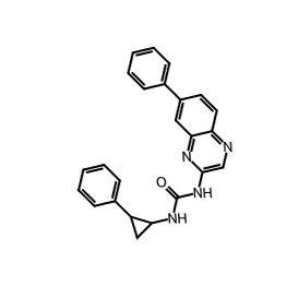 O=C(Nc1cnc2ccc(-c3ccccc3)cc2n1)NC1CC1c1ccccc1